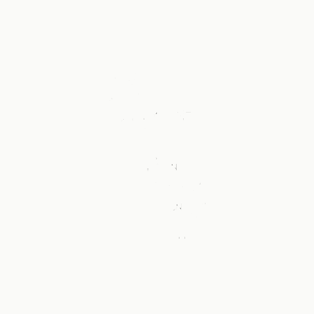 OCC1COC(c2ccc(-c3cc(O)cc(OC4CCOC4)c3)[nH]2)=N1